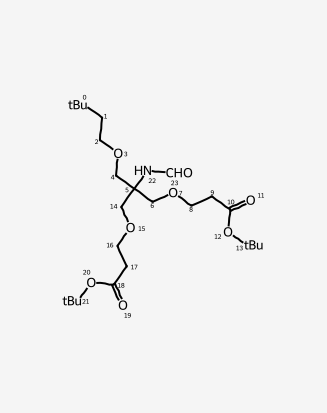 CC(C)(C)CCOCC(COCCC(=O)OC(C)(C)C)(COCCC(=O)OC(C)(C)C)NC=O